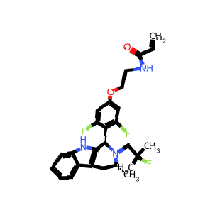 C=CC(=O)NCCOc1cc(F)c([C@@H]2c3[nH]c4ccccc4c3C[C@@H](C)N2CC(C)(C)F)c(F)c1